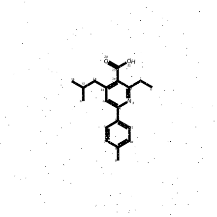 CCc1nc(-c2ccc(C)cc2)cc(CC(C)C)c1C(=O)O